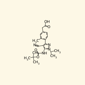 Cc1cc(CC(=O)O)ccc1-c1nn(C(C)C)c(NC(=O)OC(C)(C)C)c1C#N